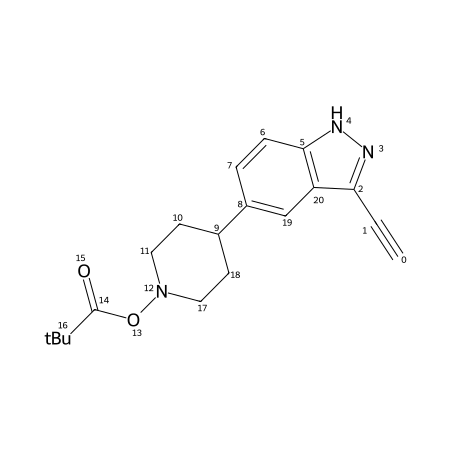 C#Cc1n[nH]c2ccc(C3CCN(OC(=O)C(C)(C)C)CC3)cc12